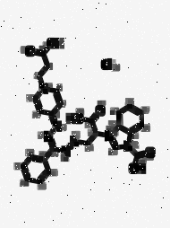 O=C(O)CCn1ccc(=NN=C(N=NCC(C(=O)O)[n+]2cn(C(=O)O)c3ccccc32)c2ccccc2)cc1.[Cl-]